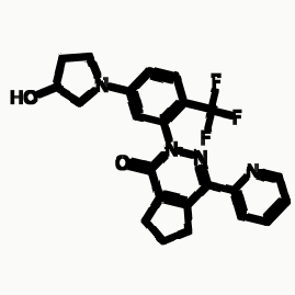 O=c1c2c(c(-c3ccccn3)nn1-c1cc(N3CCC(O)C3)ccc1C(F)(F)F)CCC2